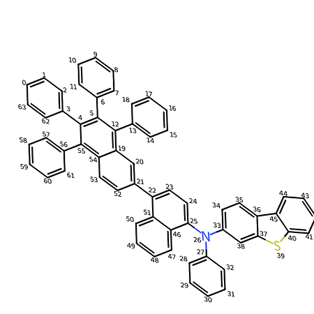 c1ccc(-c2c(-c3ccccc3)c(-c3ccccc3)c3cc(-c4ccc(N(c5ccccc5)c5ccc6c(c5)sc5ccccc56)c5ccccc45)ccc3c2-c2ccccc2)cc1